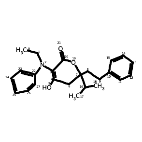 CCN(C1=C(O)CC(CCc2ccccc2)(C(C)C)OC1=O)c1ccccc1